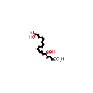 CC[C@@H](O)/C=C/C=C\C/C=C\C/C=C\C=C\[C@H](CCCC(=O)O)OO